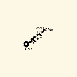 COc1cccc(-c2nc(C[S+]([O-])CC(=O)NCC(OC)OC)c(C)o2)c1